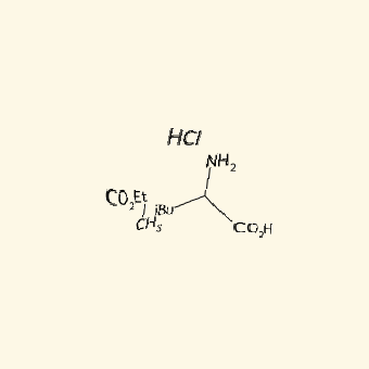 CCC(C)C(N)C(=O)O.CCOC(C)=O.Cl